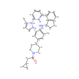 Cc1cc(C2CCN(C(=O)CC3CC3)CC2)ccc1NC1CCc2cccc(-c3cccc(-n4nccc4C)n3)c21